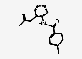 C=C(C)Cc1ccccc1NC(=O)C1=CC=C(I)CC1